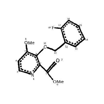 COC(=O)c1nccc(OC)c1OCc1ccccc1F